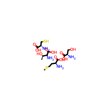 CSCC[C@H](N)C(=O)O.C[C@@H](O)[C@H](N)C(=O)O.N[C@@H](CO)C(=O)O.N[C@@H](CS)C(=O)O